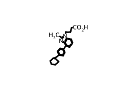 Cc1nc2c(-c3ccc(C4=CCCCC4)cc3)cccc2n1CCCC(=O)O